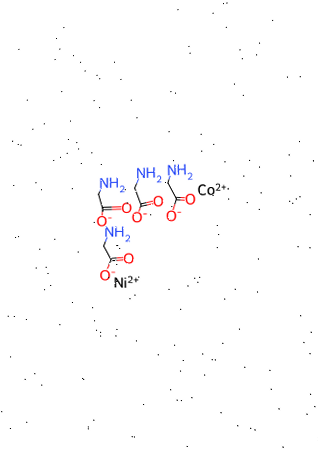 NCC(=O)[O-].NCC(=O)[O-].NCC(=O)[O-].NCC(=O)[O-].[Co+2].[Ni+2]